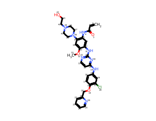 C=CC(=O)Nc1cc(Nc2nccc(Nc3ccc(OCc4ccccn4)c(Cl)c3)n2)c(OC)cc1N1CCN(CCO)CC1